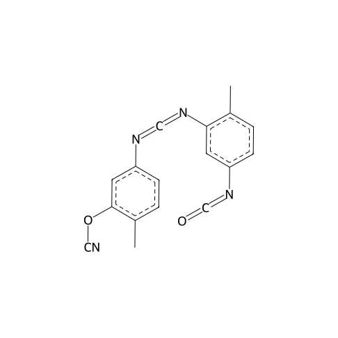 Cc1ccc(N=C=O)cc1N=C=Nc1ccc(C)c(OC#N)c1